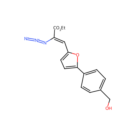 CCOC(=O)/C(=C/c1ccc(-c2ccc(CO)cc2)o1)N=[N+]=[N-]